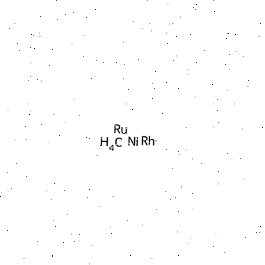 C.[Ni].[Rh].[Ru]